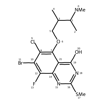 CNC(C)C(C)COc1c(Cl)c(Br)c(F)c2nc(SC)nc(O)c12